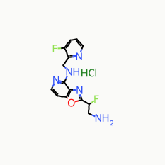 Cl.NCC(F)c1nc2c(NCc3ncccc3F)nccc2o1